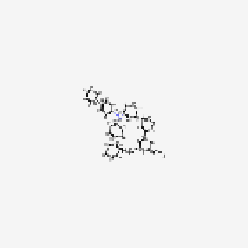 Cc1cc(C)cc(-c2cccc(-c3cccc(N(c4ccc(-c5ccccc5)cc4)c4ccc(-c5ccccc5)cc4)c3)c2)c1